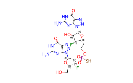 Nc1nc2c(nnn2[C@@H]2O[C@H](CCOP(=O)(S)O[C@@H]3[C@H](F)[C@@H](CO)O[C@H]3n3nnc4c(=O)[nH]c(N)nc43)[C@@H](F)[C@H]2O)c(=O)[nH]1